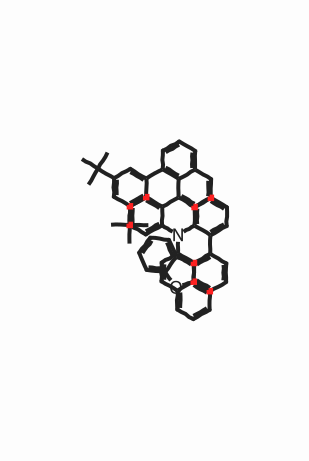 CC(C)(C)c1cc(-c2cccc3cccc(-c4ccccc4N(c4ccc5ccccc5c4)c4ccccc4-c4cccc5oc6ccccc6c45)c23)cc(C(C)(C)C)c1